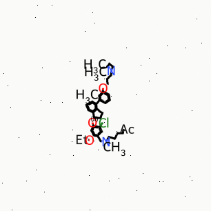 CCOc1cc(O[C@H]2CCc3c(-c4cccc(OCCCN5CCC5(C)C)c4C)cccc32)c(Cl)cc1CN(C)CCCCC(C)=O